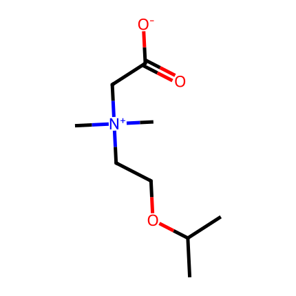 CC(C)OCC[N+](C)(C)CC(=O)[O-]